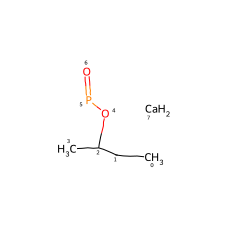 CCC(C)OP=O.[CaH2]